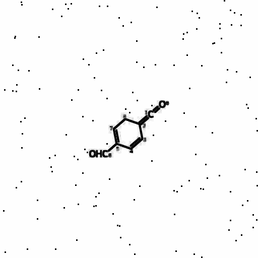 O=C=C1C=CC(C=O)=CC1